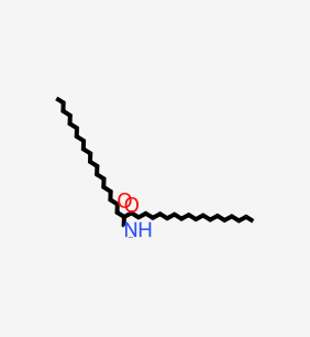 CCCCCCCCCCCCCCCCCC(=O)CC(CNC)C(=O)CCCCCCCCCCCCCCCCC